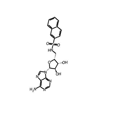 Nc1ncnc2c1ncn2[C@@H]1O[C@H](CNS(=O)(=O)c2ccc3ccccc3c2)[C@H](O)[C@H]1O